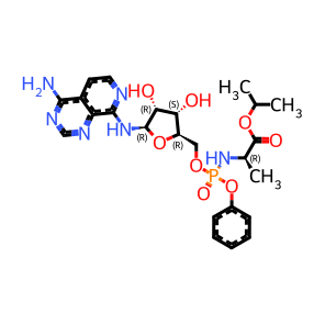 CC(C)OC(=O)[C@@H](C)NP(=O)(OC[C@H]1O[C@@H](Nc2nccc3c(N)ncnc23)[C@H](O)[C@@H]1O)Oc1ccccc1